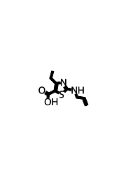 C=CCNc1nc(CC)c(C(=O)O)s1